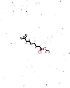 CCOC(=O)CCCCC=CC(C)C